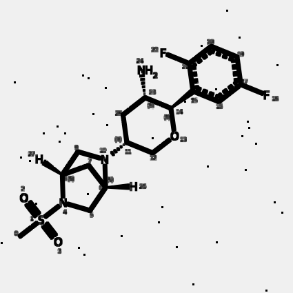 CS(=O)(=O)N1C[C@@H]2C[C@H]1CN2[C@H]1CO[C@H](c2cc(F)ccc2F)[C@@H](N)C1